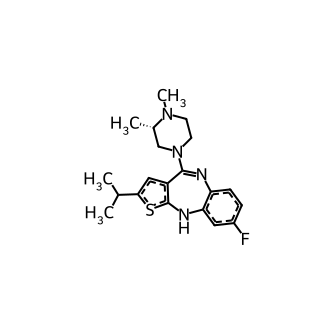 CC(C)c1cc2c(s1)Nc1cc(F)ccc1N=C2N1CCN(C)[C@@H](C)C1